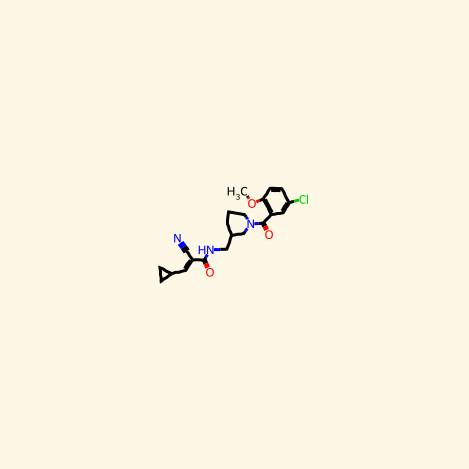 COc1ccc(Cl)cc1C(=O)N1CCCC(CNC(=O)/C(C#N)=C/C2CC2)C1